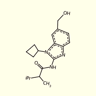 CC(C)C(C)C(=O)Nc1nc2ccc(CO)cc2n1C1CCC1